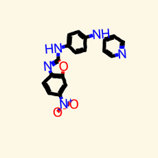 O=[N+]([O-])c1ccc2nc(Nc3ccc(Nc4ccncc4)cc3)oc2c1